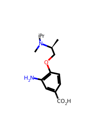 CC(C)N(C)[C@@H](C)COc1ccc(C(=O)O)cc1N